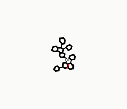 c1ccc(-c2cccc(N(c3ccc4c(c3)c(-c3ccccc3)c(-c3ccccc3)c3ccccc34)c3ccccc3-c3ccccc3)c2)cc1